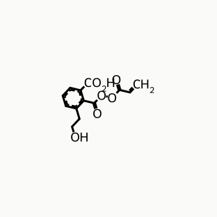 C=CC(=O)OOC(=O)c1c(CCO)cccc1C(=O)O